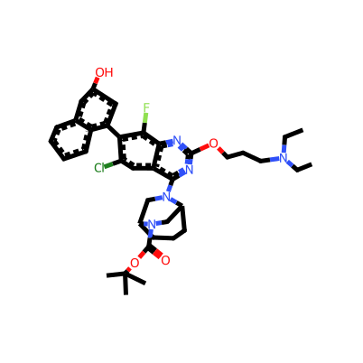 CCN(CC)CCCOc1nc(N2CC3CCCC2CN3C(=O)OC(C)(C)C)c2cc(Cl)c(-c3cc(O)cc4ccccc34)c(F)c2n1